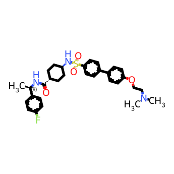 C[C@@H](NC(=O)[C@H]1CC[C@H](NS(=O)(=O)c2ccc(-c3ccc(OCCN(C)C)cc3)cc2)CC1)c1ccc(F)cc1